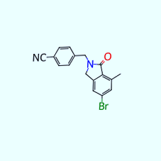 Cc1cc(Br)cc2c1C(=O)N(Cc1ccc(C#N)cc1)C2